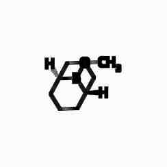 COB1[C@H]2CCC[C@H]1CCC2